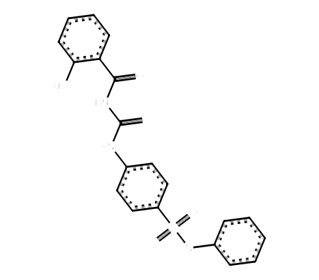 O=C(NC(=S)Nc1ccc(S(=O)(=O)Nc2ccccc2)cc1)c1ccccc1O